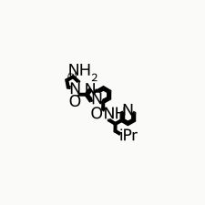 CC(C)CC(CNC(=O)c1cccc2nc(C(=O)N3CC[C@@H](N)C3)cn12)c1cccnc1